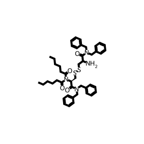 CCCCCC(=O)N(C(=O)CCCCC)[C@@H](CSSCC(N)C(=O)N(Cc1ccccc1)Cc1ccccc1)C(=O)N(Cc1ccccc1)Cc1ccccc1